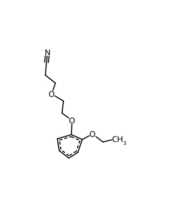 CCOc1ccccc1OCCOCCC#N